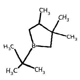 CC1CB(C(C)(C)C)CC1(C)C